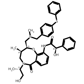 C[C@@H]1CN([C@@H](C)CO)C(=O)c2cccc(NC(=O)[C@H](O)c3ccccc3)c2O[C@@H]1CN(C)Cc1ccc(Sc2ccccc2)cc1